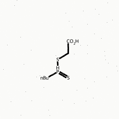 CCCC[PH](=S)SCC(=O)O